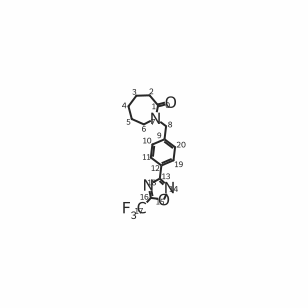 O=C1CCCCCN1Cc1ccc(-c2noc(C(F)(F)F)n2)cc1